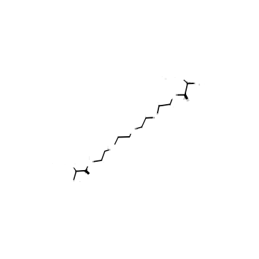 CCCCCC(CCC)C(=O)OCCOCCOCCOCCOC(=O)C(CCC)CCCCC